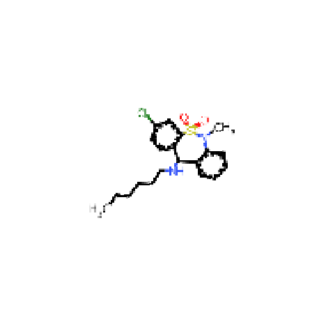 CCCCCCNC1c2ccccc2N(C)S(=O)(=O)c2cc(Cl)ccc21